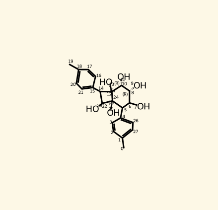 Cc1ccc(C2C(O)[C@@H](O)[C@@H](O)[C@@]3(O)C(c4ccc(C)cc4)C(O)[C@@]23O)cc1